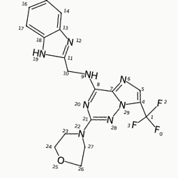 FC(F)(F)c1cnc2c(NCc3nc4ccccc4[nH]3)nc(N3CCOCC3)nn12